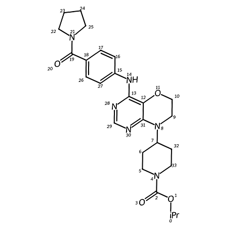 CC(C)OC(=O)N1CCC(N2CCOc3c(Nc4ccc(C(=O)N5CCCC5)cc4)ncnc32)CC1